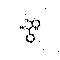 OC(c1ccccc1)c1nccnc1Cl